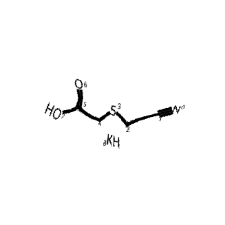 N#CCSCC(=O)O.[KH]